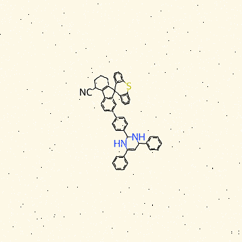 N#CC1CCCC2=C1c1ccc(-c3ccc(C4NC(c5ccccc5)=CC(c5ccccc5)N4)cc3)cc1C21c2ccccc2Sc2ccccc21